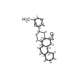 Cc1ccnc(C2CCc3c(ccc4c3ccc3ccccc34)C2)n1.O=S